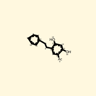 CC(=O)c1cc(CCc2ccccc2)c(O)cc1O